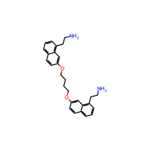 NCCc1cccc2ccc(OCCCCOc3ccc4cccc(CCN)c4c3)cc12